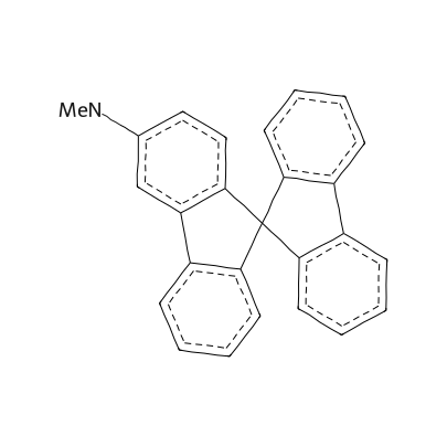 CNc1ccc2c(c1)-c1ccccc1C21c2ccccc2-c2ccccc21